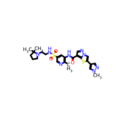 Cc1ncc(S(=O)(=O)NCCN2CCCC2(C)C)cc1NC(=O)c1cnn2cc(-c3cnn(C)c3)sc12